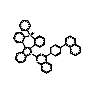 O=P1(c2ccccc2)c2ccccc2-c2c(n(-c3nc(C4C=CC(c5cccc6ccccc56)=CC4)c4ccccc4n3)c3ccccc23)-c2ccccc21